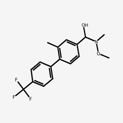 CON(C)C(O)c1ccc(-c2ccc(C(F)(F)F)cc2)c(C)c1